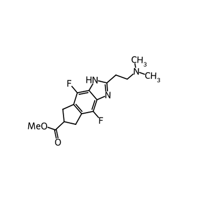 COC(=O)C1Cc2c(c(F)c3[nH]c(CCN(C)C)nc3c2F)C1